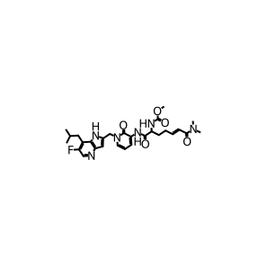 COC(=O)NC(CC/C=C/C(=O)N(C)C)C(=O)Nc1cccn(Cc2cc3ncc(F)c(CC(C)C)c3[nH]2)c1=O